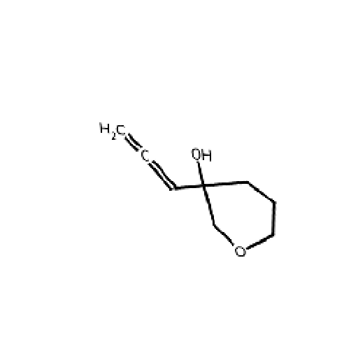 C=C=CC1(O)CCCOC1